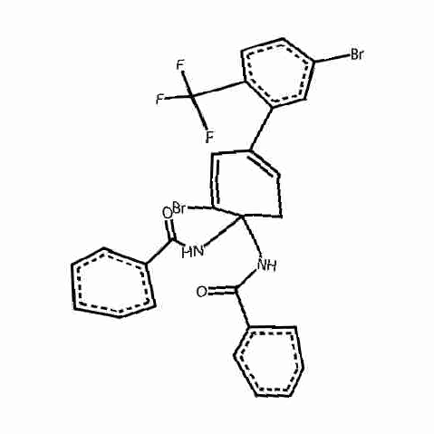 O=C(NC1(NC(=O)c2ccccc2)CC=C(c2cc(Br)ccc2C(F)(F)F)C=C1Br)c1ccccc1